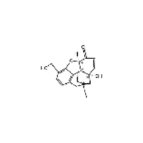 CN1CC[C@]23c4c5ccc(CO)c4O[C@H]2C(=O)C=C[C@@]3(O)C1C5